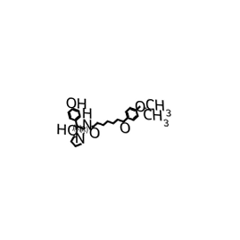 CC(C)Oc1ccc(C(=O)CCCCCC(=O)N[C@H](CN2CCCC2)[C@H](O)c2ccc(O)cc2)cc1